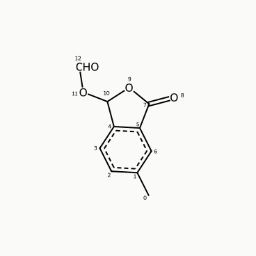 Cc1ccc2c(c1)C(=O)OC2OC=O